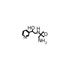 NCC1(NCC(O)c2cccnc2)COC1